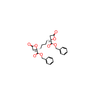 O=C1C[C@](CCCC[C@]2(C(=O)OCc3ccccc3)CC(=O)O2)(C(=O)OCc2ccccc2)O1